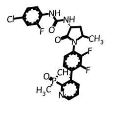 CC1C[C@@H](NC(=O)Nc2ccc(Cl)cc2F)C(=O)N1c1ccc(-c2cccnc2P(C)(C)=O)c(F)c1F